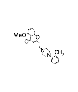 COc1cccc2oc(CCN3CCN(c4ccccc4C)CC3)cc(=O)c12